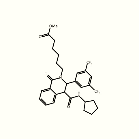 COC(=O)CCCCCN1C(=O)c2ccccc2C(C(=O)NC2CCCC2)C1c1cc(C(F)(F)F)cc(C(F)(F)F)c1